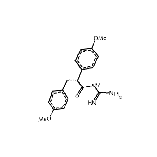 COc1ccc(C[C@@H](C(=O)NC(=N)N)c2ccc(OC)cc2)cc1